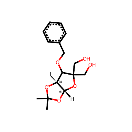 CC1(C)O[C@H]2OC(CO)(CO)C(OCc3ccccc3)[C@@H]2O1